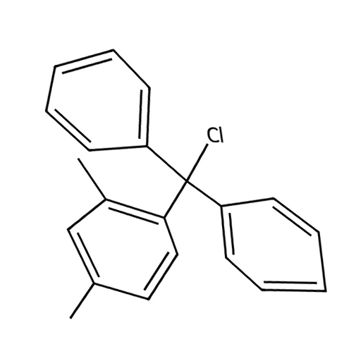 Cc1ccc(C(Cl)(c2ccccc2)c2ccccc2)c(C)c1